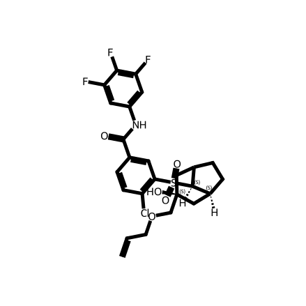 C=CCOC[C@]1(O)CC2CC[C@@H](C1)[C@H]2S(=O)(=O)c1cc(C(=O)Nc2cc(F)c(F)c(F)c2)ccc1Cl